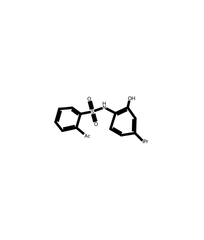 CC(=O)c1ccccc1S(=O)(=O)Nc1ccc(C(C)C)cc1O